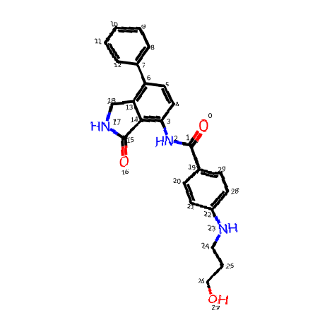 O=C(Nc1ccc(-c2ccccc2)c2c1C(=O)NC2)c1ccc(NCCCO)cc1